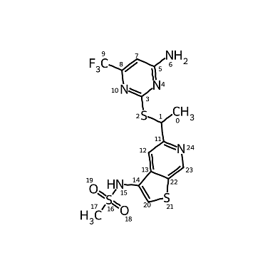 CC(Sc1nc(N)cc(C(F)(F)F)n1)c1cc2c(NS(C)(=O)=O)csc2cn1